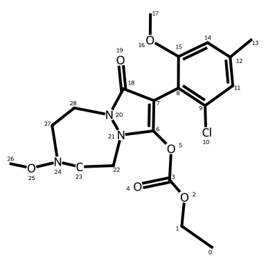 CCOC(=O)Oc1c(-c2c(Cl)cc(C)cc2OC)c(=O)n2n1CCN(OC)CC2